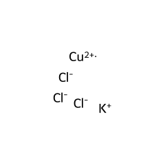 [Cl-].[Cl-].[Cl-].[Cu+2].[K+]